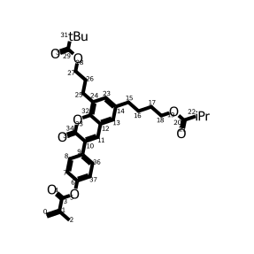 C=C(C)C(=O)Oc1ccc(-c2cc3cc(CCCCOC(=O)C(C)C)cc(CCCOC(=O)C(C)(C)C)c3oc2=O)cc1